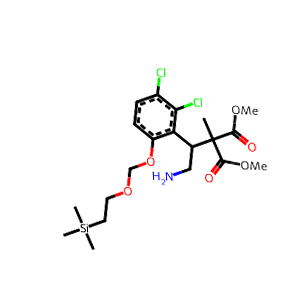 COC(=O)C(C)(C(=O)OC)C(CN)c1c(OCOCC[Si](C)(C)C)ccc(Cl)c1Cl